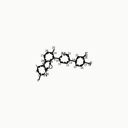 Cc1ccc2c(n1)oc1c(-c3ccc(-c4ccc(F)c(F)c4)cn3)c(C)ccc12